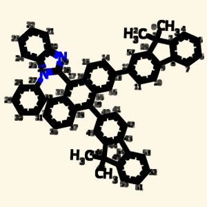 CC1(C)c2ccccc2-c2ccc(-c3ccc4c(-c5nc6ccccc6n5-c5ccccc5)c5ccccc5c(-c5ccc6c(c5)C(C)(C)c5ccccc5-6)c4c3)cc21